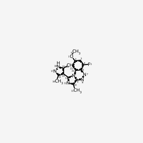 COc1cc(F)c2nnc3c(C)nc(-c4c(C)n[nH]c4C)n3c2c1